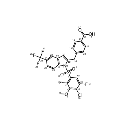 COc1c(F)c(S(=O)(=O)n2c(Cc3ccc(C(=O)O)cc3)cc3cc(C(F)(F)F)ccc32)cc(F)c1Cl